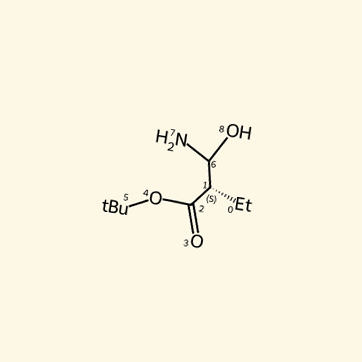 CC[C@H](C(=O)OC(C)(C)C)C(N)O